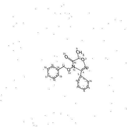 CC1ON=C(c2ccccc2)N(OCc2ccccc2)C1=O